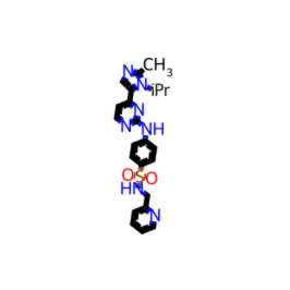 Cc1ncc(-c2ccnc(Nc3ccc(S(=O)(=O)NCc4ccccn4)cc3)n2)n1C(C)C